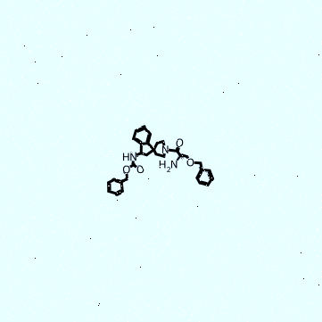 N[C@H](COCc1ccccc1)C(=O)N1CCC2(CC1)CC(NC(=O)OCc1ccccc1)c1ccccc12